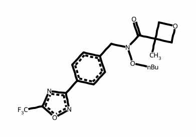 CCCCON(Cc1ccc(-c2noc(C(F)(F)F)n2)cc1)C(=O)C1(C)COC1